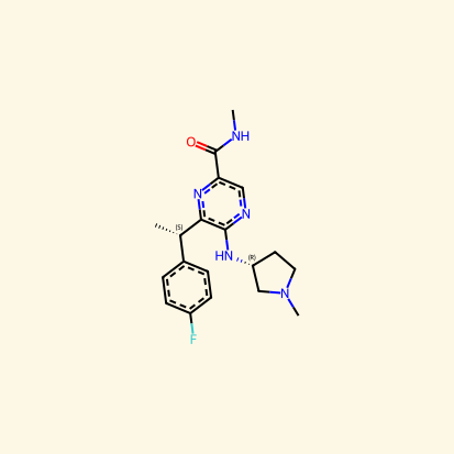 CNC(=O)c1cnc(N[C@@H]2CCN(C)C2)c([C@@H](C)c2ccc(F)cc2)n1